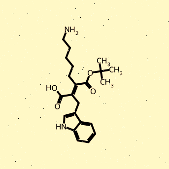 CC(C)(C)OC(=O)C(CCCCCN)=C(Cc1c[nH]c2ccccc12)C(=O)O